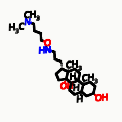 CN(C)CCCCONCCC[C@H]1CC[C@]2(O)[C@@H]3CC[C@@H]4C[C@@H](O)CC[C@]4(C)[C@H]3CC[C@]12C